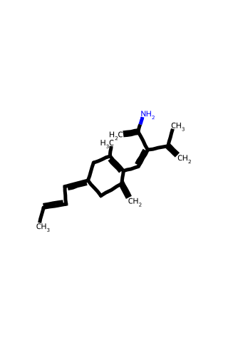 C=C1C/C(=C\C=C\C)CC(C)=C1/C=C(/C(=C)C)C(=C)N